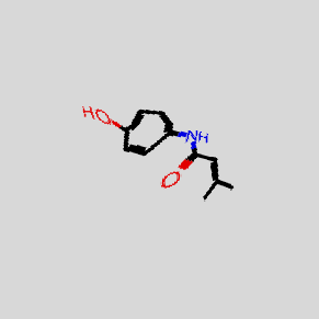 CC(C)=CC(=O)Nc1ccc(O)cc1